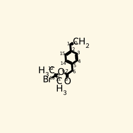 C=Cc1ccc(CC(=O)OC(C)(C)Br)cc1